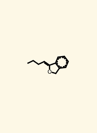 CCCC=C1OCc2ccccc21